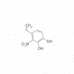 C=[C]c1ccc(O)c(O)c1[N+](=O)[O-]